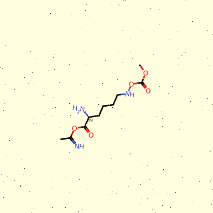 COC(=O)ONCCCC[C@H](N)C(=O)OC(C)=N